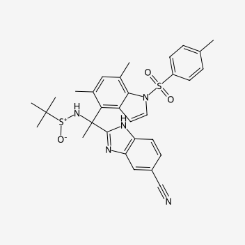 Cc1ccc(S(=O)(=O)n2ccc3c(C(C)(N[S+]([O-])C(C)(C)C)c4nc5cc(C#N)ccc5[nH]4)c(C)cc(C)c32)cc1